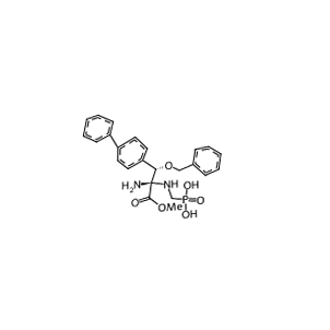 COC(=O)[C@@](N)(NCP(=O)(O)O)[C@@H](OCc1ccccc1)c1ccc(-c2ccccc2)cc1